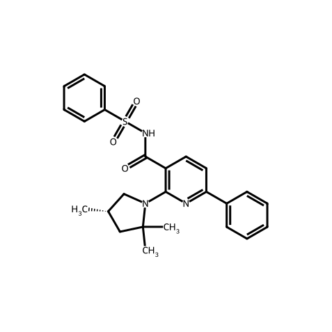 C[C@@H]1CN(c2nc(-c3ccccc3)ccc2C(=O)NS(=O)(=O)c2ccccc2)C(C)(C)C1